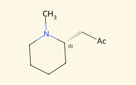 CC(=O)C[C@@H]1CCCCN1C